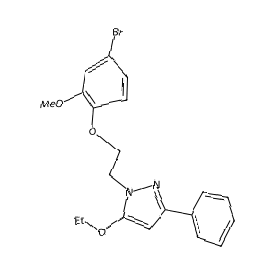 CCOc1cc(-c2ccccc2)nn1CCOc1ccc(Br)cc1OC